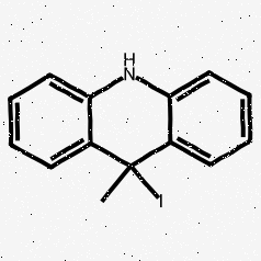 CC1(I)c2ccccc2Nc2ccccc21